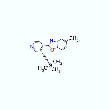 Cc1ccc2oc(-c3ccncc3C#C[Si](C)(C)C)nc2c1